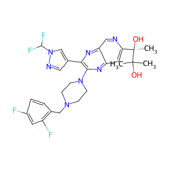 CC(C)(O)[C@](C)(O)c1cc2nc(N3CCN(Cc4ccc(F)cc4F)CC3)c(-c3cnn(C(F)F)c3)nc2cn1